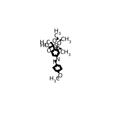 CCO[Si](OCC)(OCC)C(CC)(C(=O)O)c1ccc(N=Nc2ccc(OC)cc2)cc1